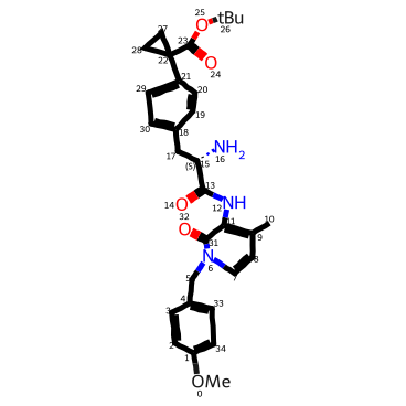 COc1ccc(Cn2ccc(C)c(NC(=O)[C@@H](N)Cc3ccc(C4(C(=O)OC(C)(C)C)CC4)cc3)c2=O)cc1